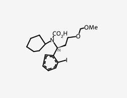 COCOCC[C@@H](c1ccccc1I)N(C(=O)O)C1CCCCC1